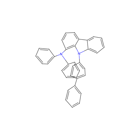 c1ccc(-c2ccc(-n3c4ccccc4c4cccc(N(c5ccccc5)c5ccccc5)c43)cc2)cc1